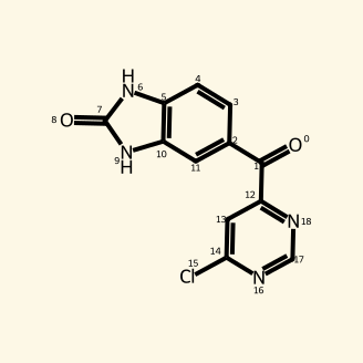 O=C(c1ccc2[nH]c(=O)[nH]c2c1)c1cc(Cl)ncn1